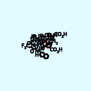 CCC(NC(=O)C(=O)C(CC(F)(F)F)NC(=O)[C@H](CC(C)C)NC(=O)[C@@H](NC(=O)[C@H](Cc1ccccc1C)NC(=O)[C@H](CCC(=O)O)NC(=O)[C@H](CC(=O)O)NC(=O)CCC(=O)O)C(C)(C)C)c1ccc2ccccc2c1